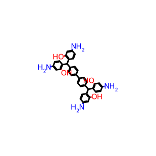 Nc1ccc(C(c2ccc(-c3ccc(C(c4ccc(N)cc4O)c4ccc(N)cc4O)cc3)cc2)c2ccc(N)cc2O)c(O)c1